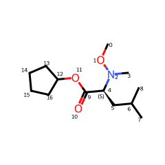 CON(C)[C@@H](CC(C)C)C(=O)OC1CCCC1